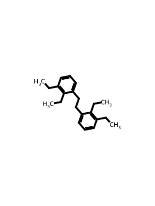 CCc1cccc(CCc2cccc(CC)c2CC)c1CC